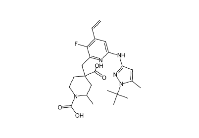 C=Cc1cc(Nc2cc(C)n(C(C)(C)C)n2)nc(CC2(C(=O)O)CCN(C(=O)O)C(C)C2)c1F